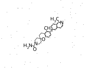 Cc1c(-c2ccc3c(C)nccc3c2)ccc2c1CCC1(CCN(C(N)=O)CC1)O2